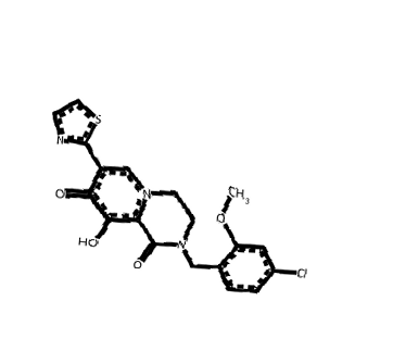 COc1cc(Cl)ccc1CN1CCn2cc(-c3nccs3)c(=O)c(O)c2C1=O